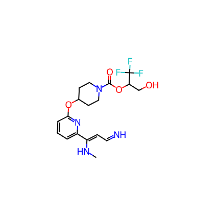 CN/C(=C\C=N)c1cccc(OC2CCN(C(=O)OC(CO)C(F)(F)F)CC2)n1